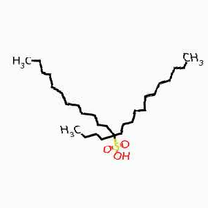 CCCCCCCCCCCCC(CCCC)(CCCCCCCCCCCC)S(=O)(=O)O